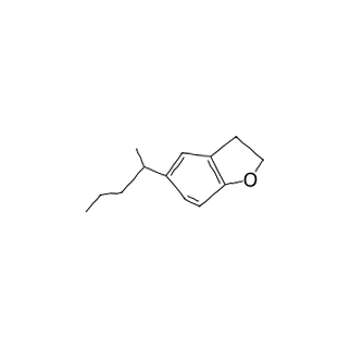 CCCC(C)c1ccc2c(c1)CCO2